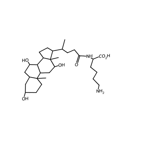 CC(CCC(=O)NC(CCCCN)C(=O)O)C1CCC2C3C(O)CC4CC(O)CCC4(C)C3CC(O)C12C